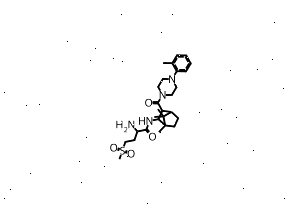 Cc1ccccc1N1CCN(C(=O)C2C3CCC(C)(C2NC(=O)C(N)CCS(C)(=O)=O)C3(C)C)CC1